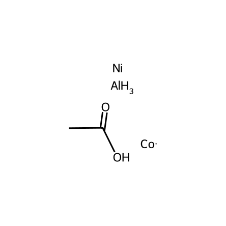 CC(=O)O.[AlH3].[Co].[Ni]